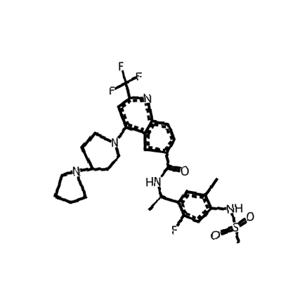 Cc1cc([C@@H](C)NC(=O)c2ccc3nc(C(F)(F)F)cc(N4CCC(N5CCCC5)CC4)c3c2)c(F)cc1NS(C)(=O)=O